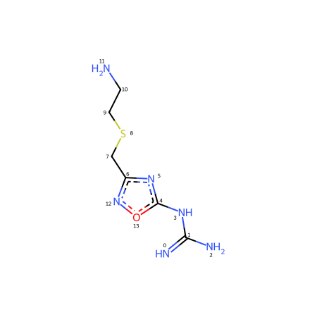 N=C(N)Nc1nc(CSCCN)no1